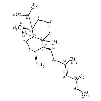 C=C1CC[C@@H]2[C@](C)(CCC[C@@]2(C)C(=O)O)[C@H]1CC/C(C)=C/C(=O)OC